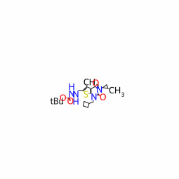 Cc1c(CNNC(=O)OC(C)(C)C)sc2c1c(=O)n([C@H]1C[C@@H]1C)c(=O)n2CC1CCC1